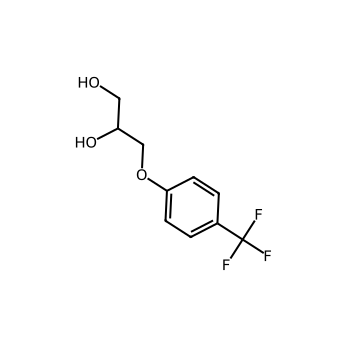 OCC(O)COc1ccc(C(F)(F)F)cc1